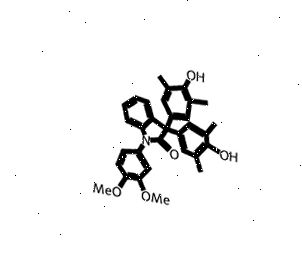 COc1ccc(N2C(=O)C(c3cc(C)c(O)c(C)c3)(c3cc(C)c(O)c(C)c3)c3ccccc32)cc1OC